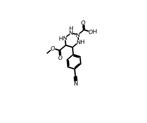 COC(=O)C1NNN(C(=O)O)NC1c1ccc(C#N)cc1